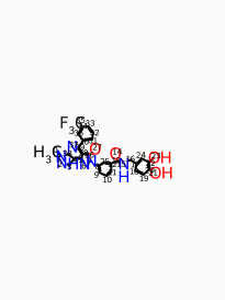 Cn1ncc2c3[nH]n(-c4cccc(C(=O)NCc5ccc(O)c(O)c5)c4)c(=O)c3c(-c3cccc(C(F)(F)F)c3)nc21